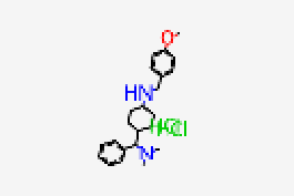 COc1ccc(CNC2CCC(C(c3ccccc3)N(C)C)CC2)cc1.Cl.Cl